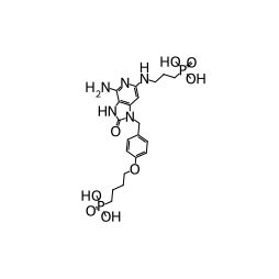 Nc1nc(NCCCP(=O)(O)O)cc2c1[nH]c(=O)n2Cc1ccc(OCCCCP(=O)(O)O)cc1